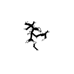 CCOC(=O)[C@](C)(CC=C(C)C)C(=O)C(C)(C)C